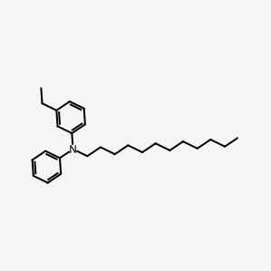 CCCCCCCCCCCCN(c1ccccc1)c1cccc(CC)c1